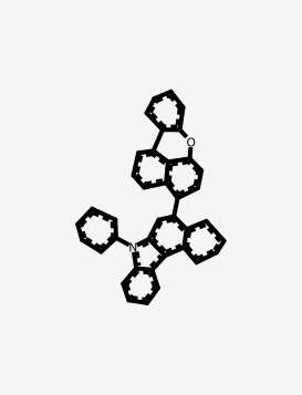 c1ccc(-n2c3ccccc3c3c4ccccc4c(-c4ccc5c6c(cccc46)-c4ccccc4O5)cc32)cc1